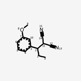 CCC(c1cccc(OC)c1)C(C#N)C#N